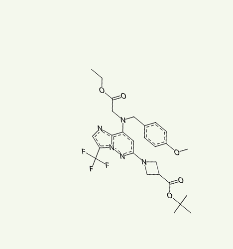 CCOC(=O)CN(Cc1ccc(OC)cc1)c1cc(N2CC(C(=O)OC(C)(C)C)C2)nn2c(C(F)(F)F)cnc12